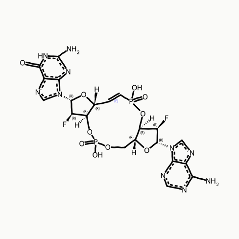 Nc1nc2c(ncn2[C@@H]2O[C@@H]3/C=C/P(=O)(O)O[C@H]4[C@@H](F)[C@H](n5cnc6c(N)ncnc65)O[C@@H]4COP(=O)(O)O[C@H]3[C@H]2F)c(=O)[nH]1